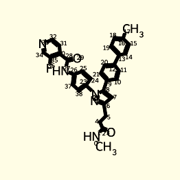 CNC(=O)CCc1cc(-c2ccc(-c3ccc(C)cc3)cc2)n(-c2ccc(NC(=O)c3ccncc3F)cc2)n1